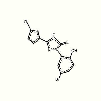 O=c1[nH]c(-c2ccc(Cl)s2)nn1-c1cc(Br)ccc1O